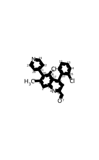 Cc1cc2nc(C=O)cc(-c3ccccc3Cl)c2c(C)c1-c1ccncc1